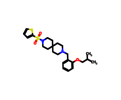 CC(C)COc1ccccc1CN1CCC2(CC1)CCN(S(=O)(=O)c1cccs1)CC2